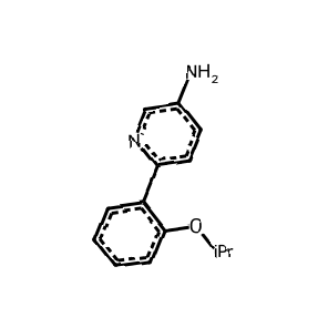 CC(C)Oc1ccccc1-c1ccc(N)cn1